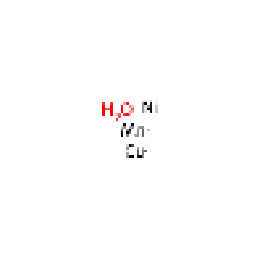 O.[Cu].[Mn].[Ni]